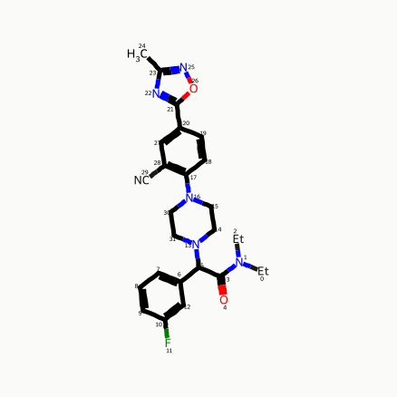 CCN(CC)C(=O)C(c1cccc(F)c1)N1CCN(c2ccc(-c3nc(C)no3)cc2C#N)CC1